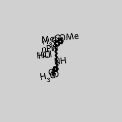 CCCN(CCCCCCNCCc1ccc(S(C)(=O)=O)cc1)C1Cc2ccc(OC)c(OC)c2C(C)C1.Cl.Cl